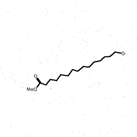 COC(=O)CCCCCCCCCCCCCC[O]